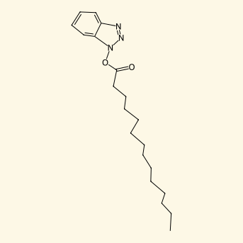 CCCCCCCCCCCCCC(=O)On1nnc2ccccc21